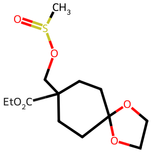 CCOC(=O)C1(COS(C)=O)CCC2(CC1)OCCO2